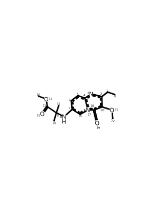 CCc1nc2ccc(NC(C)(C)C(=O)OC)cn2c(=O)c1OC